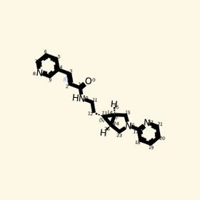 O=C(/C=C/c1cccnc1)NCC[C@@H]1[C@H]2CN(c3ccccn3)C[C@@H]12